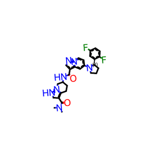 CN(C)C(=O)C1=C2CCC(NC(=O)c3cnn4ccc(N5CCC[C@@H]5c5cc(F)ccc5F)cc34)CN2NC1